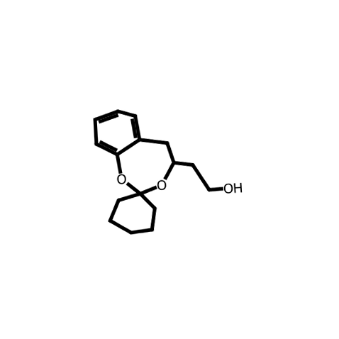 OCCC1Cc2ccccc2OC2(CCCCC2)O1